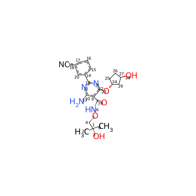 CC(C)(O)CONC(=O)c1c(N)nc(-c2cccc(C#N)c2)nc1O[C@H]1CC[C@@H](O)C1